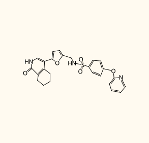 O=c1[nH]cc(-c2ccc(CNS(=O)(=O)c3ccc(Oc4ccccn4)cc3)o2)c2c1CCCC2